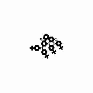 Cn1c2ccccc2c2c(N3c4ccc(C(C)(C)C)cc4B4c5cc(C(C)(C)C)ccc5Oc5cccc3c54)cc(N(c3ccc(C(C)(C)C)cc3)c3ccc(C(C)(C)C)cc3)cc21